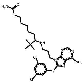 CC(C)(C)C(CCCCCOC(N)=O)NCCCn1c(Sc2cc(Cl)cc(Cl)c2)nc2c(N)ncnc21